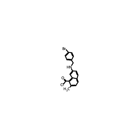 Cc1ccc2ccc(NCc3ccc(Br)cc3)cc2c1C(=O)Cl